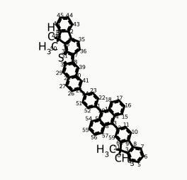 CC1(C)c2ccccc2-c2ccc(-c3c4ccccc4c(-c4ccc(-c5ccc6cc7sc8c9c(ccc8c7cc6c5)-c5ccccc5C9(C)C)cc4)c4ccccc34)cc21